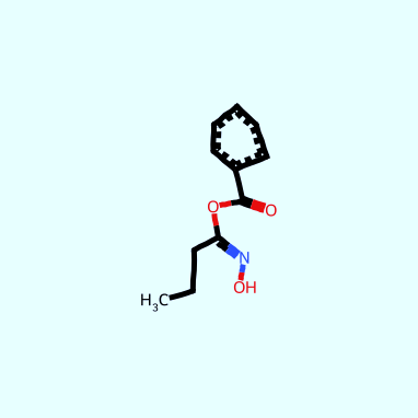 CCCC(=NO)OC(=O)c1ccccc1